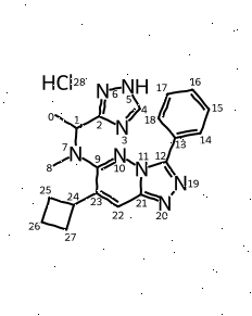 CC(c1nc[nH]n1)N(C)c1nn2c(-c3ccccc3)nnc2cc1C1CCC1.Cl